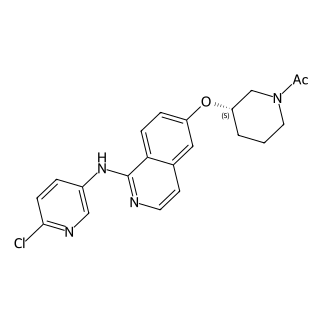 CC(=O)N1CCC[C@H](Oc2ccc3c(Nc4ccc(Cl)nc4)nccc3c2)C1